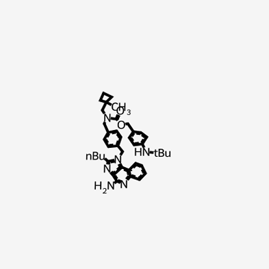 CCCCc1nc2c(N)nc3ccccc3c2n1Cc1ccc(CN(CC2(C)CCC2)C(=O)OCc2ccc(NC(C)(C)C)cc2)cc1